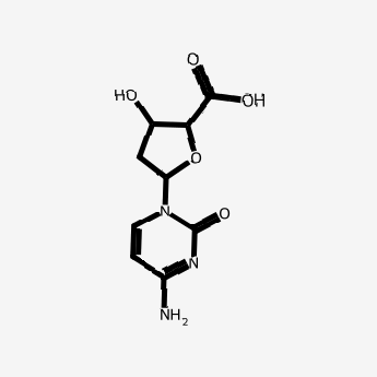 Nc1ccn(C2CC(O)C(C(=O)O)O2)c(=O)n1